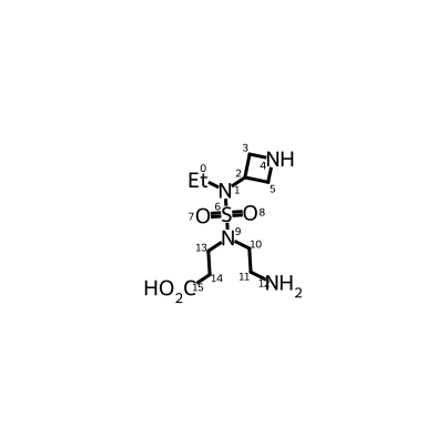 CCN(C1CNC1)S(=O)(=O)N(CCN)CCC(=O)O